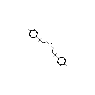 CC(C)(CCS(=O)(=O)CCC(C)(C)c1ccc(F)cc1)c1ccc(F)cc1